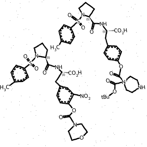 Cc1ccc(S(=O)(=O)N2CCC[C@H]2C(=O)N[C@@H](Cc2ccc(OC(=O)N3CCOCC3)c([N+](=O)[O-])c2)C(=O)O)cc1.Cc1ccc(S(=O)(=O)N2CCC[C@H]2C(=O)N[C@@H](Cc2ccc(OC(=O)[N+]3(C(=O)OC(C)(C)C)CCNCC3)cc2)C(=O)O)cc1